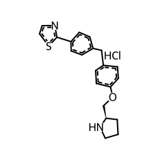 Cl.c1csc(-c2ccc(Cc3ccc(OC[C@H]4CCCN4)cc3)cc2)n1